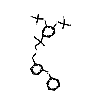 CC(C)(COCc1cccc(Oc2ccccc2)c1)c1ccc(OC(F)(F)F)c(OC(F)(F)F)c1